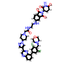 O=C(CN1CCC(n2cc(-c3cnc4cccc(-c5cc(F)c(CN6CCOCC6)c(F)c5)c4n3)cn2)CC1)NCCNc1ccc2c(c1)C(=O)N(C1CCC(=O)NC1=O)C2=O